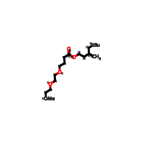 COCCOCCOCCCC(=O)OCCC(C)CC(C)(C)C